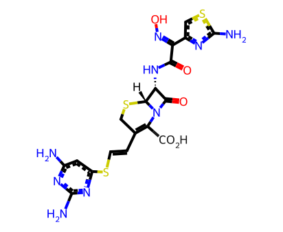 Nc1cc(S/C=C/C2=C(C(=O)O)N3C(=O)[C@@H](NC(=O)C(=NO)c4csc(N)n4)[C@H]3SC2)nc(N)n1